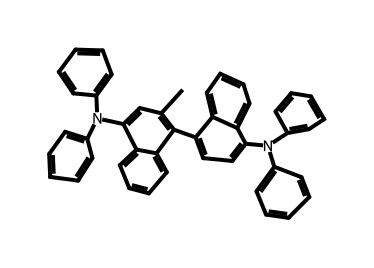 Cc1cc(N(c2ccccc2)c2ccccc2)c2ccccc2c1-c1ccc(N(c2ccccc2)c2ccccc2)c2ccccc12